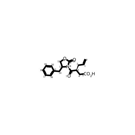 C=CC[C@@H](CC(=O)O)C(=O)N1C(=O)OCC1Cc1ccccc1